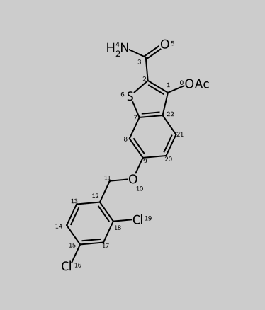 CC(=O)Oc1c(C(N)=O)sc2cc(OCc3ccc(Cl)cc3Cl)ccc12